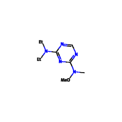 CCN(CC)c1ncnc(N(C)OC)n1